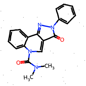 CN(C)C(=O)n1cc2c(=O)n(-c3ccccc3)nc-2c2ccccc21